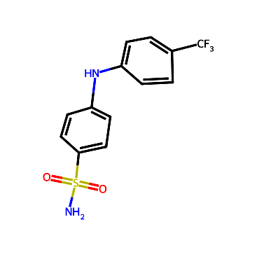 NS(=O)(=O)c1ccc(Nc2ccc(C(F)(F)F)cc2)cc1